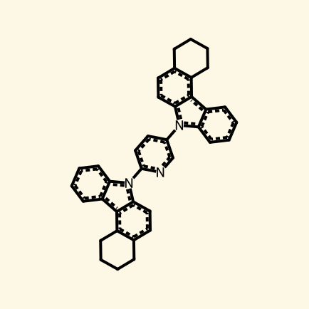 c1ccc2c(c1)c1c3c(ccc1n2-c1ccc(-n2c4ccccc4c4c5c(ccc42)CCCC5)nc1)CCCC3